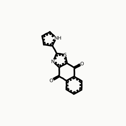 O=C1c2ccccc2C(=O)c2sc(-c3ccc[nH]3)nc21